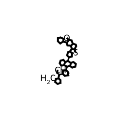 C=C/C(c1cccc(-c2c3ccccc3c(-c3ccc4c(c3)sc3ccc5cc6oc7ccccc7c6cc5c34)c3ccccc23)c1)=c1/ccccc1=C